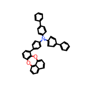 c1ccc(-c2ccc(N(c3ccc(-c4ccccc4)cc3)c3ccc(-c4cccc5c4Oc4cccc6cccc(c46)O5)cc3)cc2)cc1